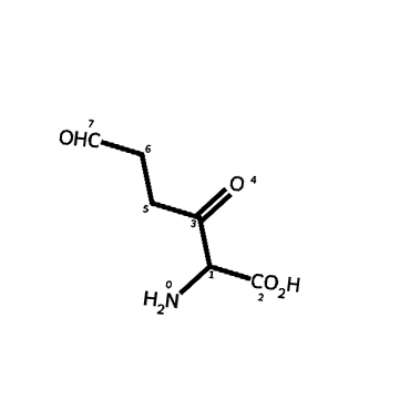 NC(C(=O)O)C(=O)CCC=O